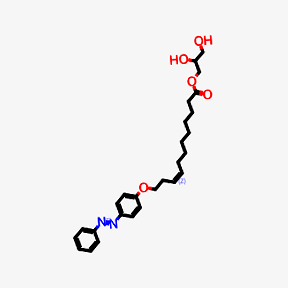 O=C(CCCCCCC/C=C\CCOc1ccc(/N=N/c2ccccc2)cc1)OCC(O)CO